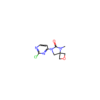 CN1C(=O)N(c2ccnc(Cl)n2)CC12COC2